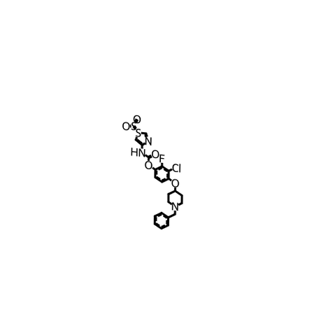 O=C(NC1=CS(=S(=O)=O)C=N1)Oc1ccc(OC2CCN(Cc3ccccc3)CC2)c(Cl)c1F